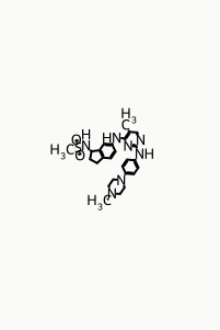 Cc1cnc(Nc2ccc(N3CCN(C)CC3)cc2)nc1Nc1ccc2c(c1)C(NS(C)(=O)=O)CC2